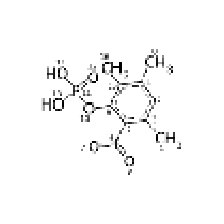 Cc1cc(C)c(I(=O)=O)c(OP(=O)(O)O)c1C